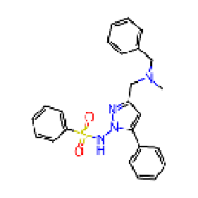 CN(Cc1ccccc1)Cc1cc(-c2ccccc2)n(NS(=O)(=O)c2ccccc2)n1